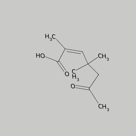 CC(=O)CC(C)(C)C=C(C)C(=O)O